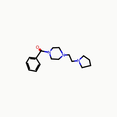 O=C(c1ccccc1)N1CCN(CCN2CCCC2)CC1